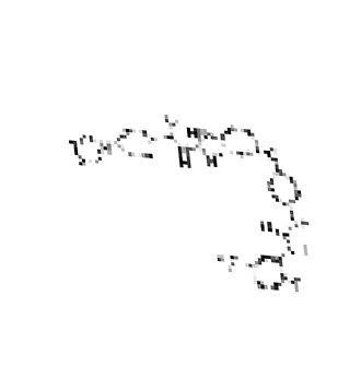 O=C(Nc1ccc(Oc2ccc3[nH]c(NC(=O)c4ccc(-n5ccnc5)cc4)nc3c2)cc1)Nc1cc(C(F)(F)F)ccc1F